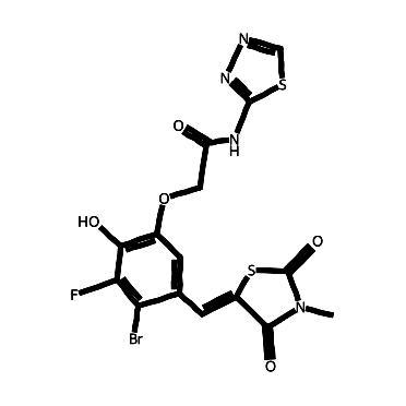 CN1C(=O)S/C(=C\c2cc(OCC(=O)Nc3nncs3)c(O)c(F)c2Br)C1=O